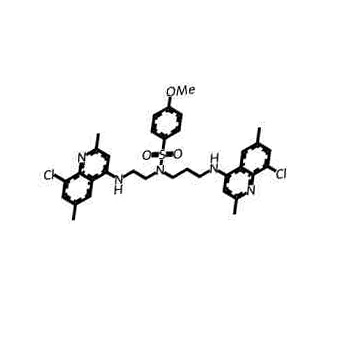 COc1ccc(S(=O)(=O)N(CCCNc2cc(C)nc3c(Cl)cc(C)cc23)CCNc2cc(C)nc3c(Cl)cc(C)cc23)cc1